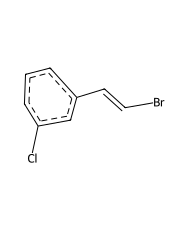 Clc1cccc(/C=C/Br)c1